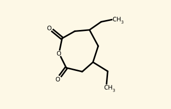 CCC1CC(=O)OC(=O)CC(CC)C1